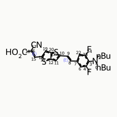 CCCCN(CCCC)c1c(F)cc(/C=C/c2cc3sc(/C=C(\C#N)C(=O)O)cc3s2)cc1F